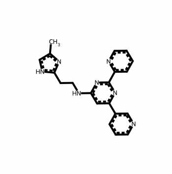 Cc1c[nH]c(CCNc2cc(-c3cccnc3)nc(-c3ccccn3)n2)n1